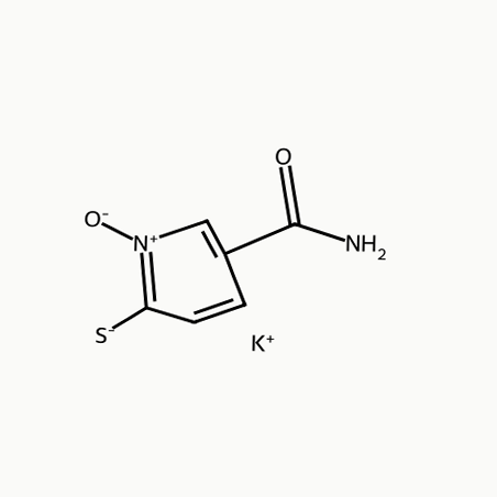 NC(=O)c1ccc([S-])[n+]([O-])c1.[K+]